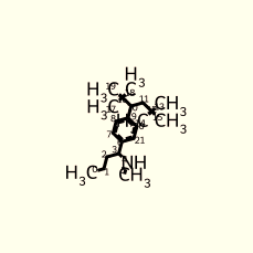 CCCC(NC)c1ccc(C(CC(C)(C)C)C(C)(C)C)cc1